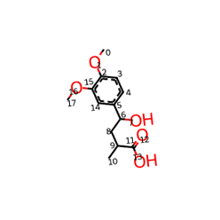 COc1ccc(C(O)CC(C)C(=O)O)cc1OC